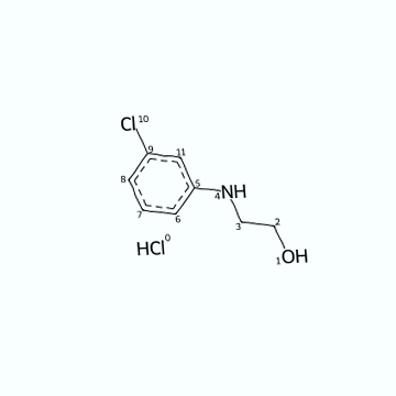 Cl.OCCNc1cccc(Cl)c1